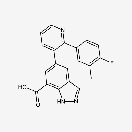 Cc1cc(-c2ncccc2-c2cc(C(=O)O)c3[nH]ncc3c2)ccc1F